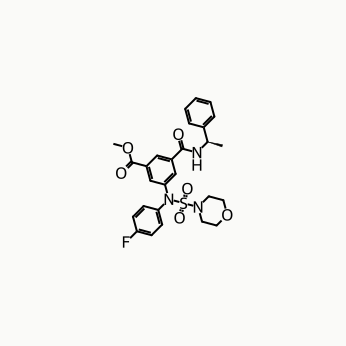 COC(=O)c1cc(C(=O)N[C@H](C)c2ccccc2)cc(N(c2ccc(F)cc2)S(=O)(=O)N2CCOCC2)c1